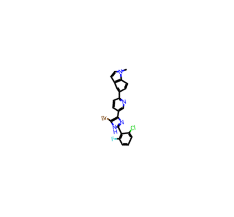 Cn1ccc2cc(-c3ccc(-c4nc(-c5c(F)cccc5Cl)[nH]c4Br)cn3)ccc21